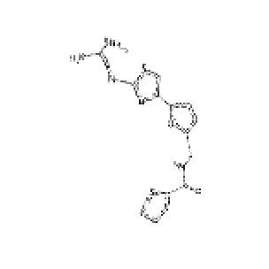 NC(N)=Nc1nc(-c2ccc(CNC(=O)c3cccs3)o2)cs1